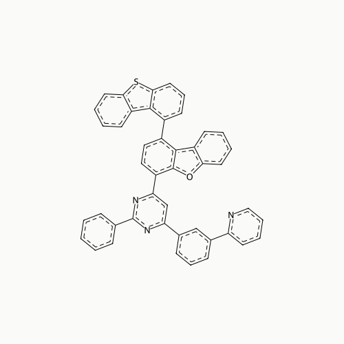 c1ccc(-c2nc(-c3cccc(-c4ccccn4)c3)cc(-c3ccc(-c4cccc5sc6ccccc6c45)c4c3oc3ccccc34)n2)cc1